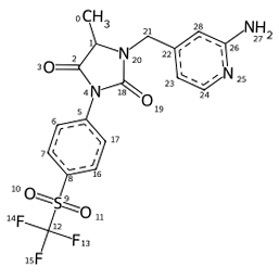 CC1C(=O)N(c2ccc(S(=O)(=O)C(F)(F)F)cc2)C(=O)N1Cc1ccnc(N)c1